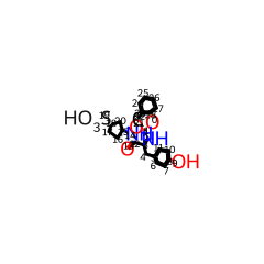 O=C(NC(Cc1ccc(O)cc1)C(=O)NC1CCC(S(=O)(=O)O)C1)OCc1ccccc1